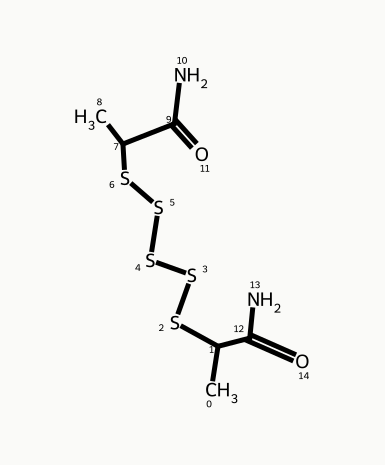 CC(SSSSSC(C)C(N)=O)C(N)=O